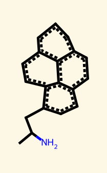 CC(N)Cc1ccc2ccc3cccc4ccc1c2c34